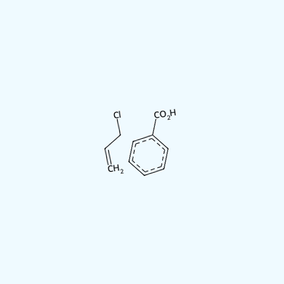 C=CCCl.O=C(O)c1ccccc1